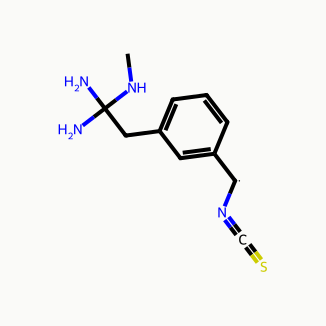 CNC(N)(N)Cc1cccc([CH]N=C=S)c1